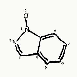 Cln1ncc2ccccc21